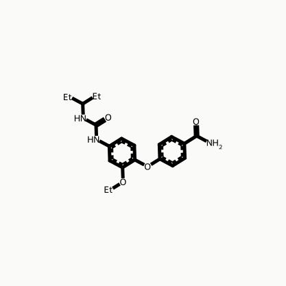 CCOc1cc(NC(=O)NC(CC)CC)ccc1Oc1ccc(C(N)=O)cc1